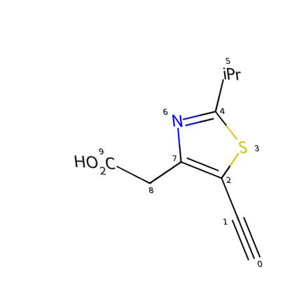 C#Cc1sc(C(C)C)nc1CC(=O)O